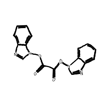 O=C(On1cnc2ccccc21)C(=O)On1cnc2ccccc21